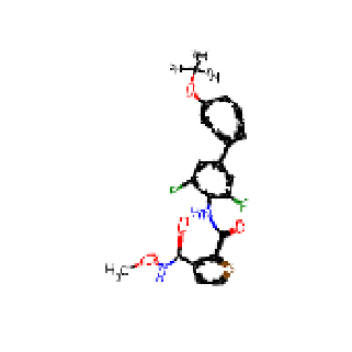 [2H]C([2H])([2H])Oc1cccc(-c2cc(F)c(NC(=O)c3sccc3C(=O)NOC)c(F)c2)c1